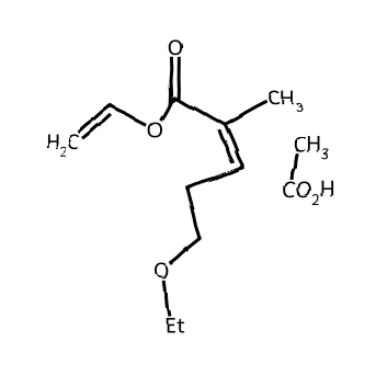 C=COC(=O)C(C)=CCCOCC.CC(=O)O